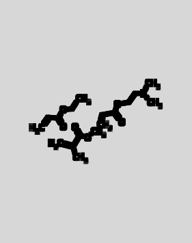 C=C(C)C(=O)OC.C=CC(=O)OCC.C=CC(=O)OCCN(C)C